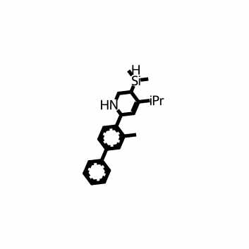 Cc1cc(-c2ccccc2)ccc1C1C=C(C(C)C)C([SiH](C)C)CN1